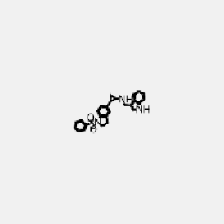 O=S(=O)(c1ccccc1)N1CCc2cc(C3CC3NCc3c[nH]c4ccccc34)ccc21